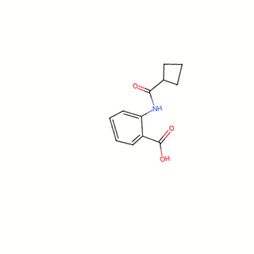 O=C(O)c1ccccc1NC(=O)C1CCC1